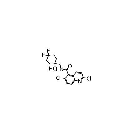 O=C(NCC1(O)CCC(F)(F)CC1)c1c(Cl)ccc2nc(Cl)ccc12